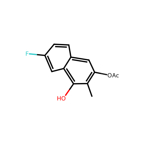 CC(=O)Oc1cc2ccc(F)cc2c(O)c1C